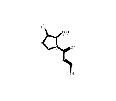 O=C(O)C1C(S)CCN1C(=O)C=CS